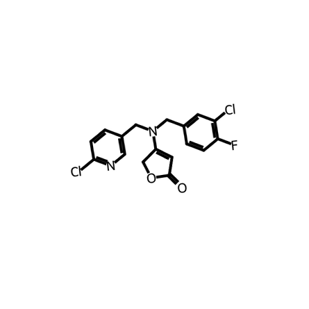 O=C1C=C(N(Cc2ccc(Cl)nc2)Cc2ccc(F)c(Cl)c2)CO1